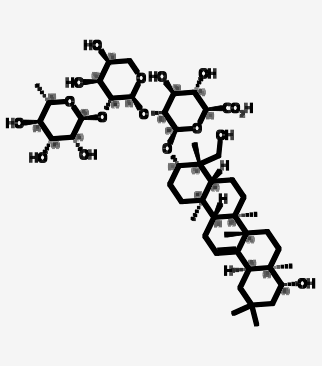 C[C@@H]1O[C@@H](O[C@H]2[C@H](O[C@H]3[C@H](O[C@H]4CC[C@@]5(C)[C@@H](CC[C@]6(C)[C@@H]5CC=C5[C@@H]7CC(C)(C)C[C@@H](O)[C@]7(C)CC[C@]56C)[C@@]4(C)CO)O[C@H](C(=O)O)[C@@H](O)[C@@H]3O)OC[C@H](O)[C@@H]2O)[C@H](O)[C@H](O)[C@H]1O